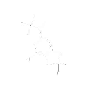 C=C(c1cc(Cl)c2c(c1)OC(F)(F)O2)C(F)(F)F